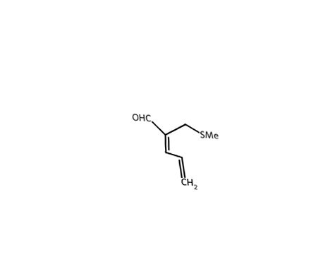 C=CC=C(C=O)CSC